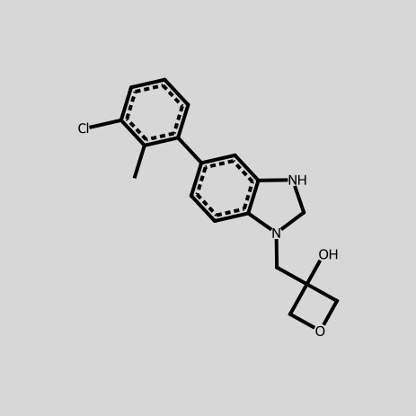 Cc1c(Cl)cccc1-c1ccc2c(c1)NCN2CC1(O)COC1